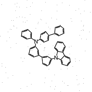 c1ccc(-c2ccc(N(c3ccccc3)c3cccc(-c4cccc(-n5c6ccccc6c6ccccc65)c4)c3)cc2)cc1